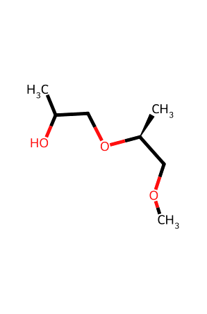 COC[C@H](C)OCC(C)O